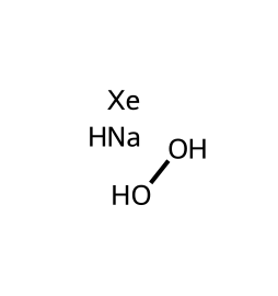 OO.[NaH].[Xe]